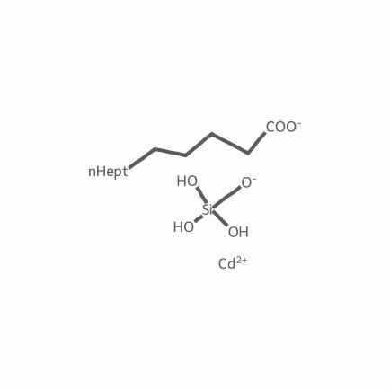 CCCCCCCCCCCC(=O)[O-].[Cd+2].[O-][Si](O)(O)O